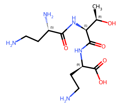 C[C@@H](O)[C@H](NC(=O)[C@@H](N)CCN)C(=O)N[C@H](CCN)C(=O)O